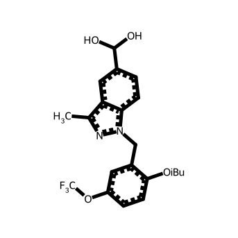 Cc1nn(Cc2cc(OC(F)(F)F)ccc2OCC(C)C)c2ccc(C(O)O)cc12